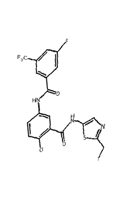 O=C(Nc1ccc(Cl)c(C(=O)Nc2cnc(CI)s2)c1)c1cc(F)cc(C(F)(F)F)c1